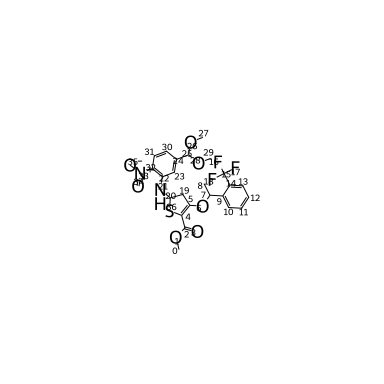 COC(=O)C1=C(OC(C)c2ccccc2C(F)(F)F)CC(Nc2cc(C(OC)OC)ccc2[N+](=O)[O-])S1